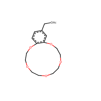 CC(=O)OCc1ccc2c(c1)OCCOCCOCCOCCO2